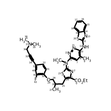 CCOC(=O)c1nc(N(C)c2cc(C)c(Nc3nc4ccccc4s3)nn2)sc1CC(C)COc1ccc(C#CCN(C)C)cc1F